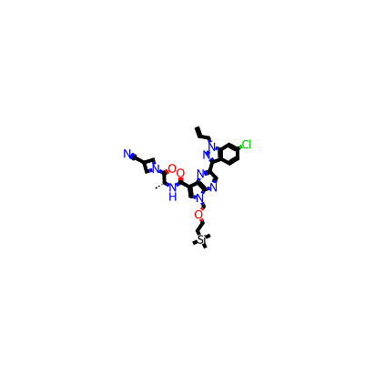 C=CCn1nc(-c2cnc3c(n2)c(C(=O)N[C@H](C)C(=O)N2CC(C#N)C2)cn3COCC[Si](C)(C)C)c2ccc(Cl)cc21